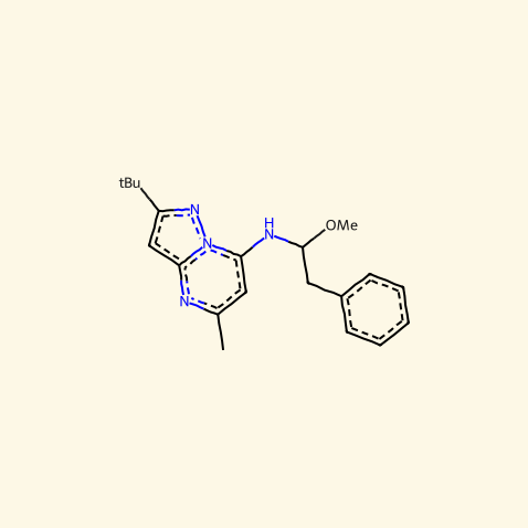 COC(Cc1ccccc1)Nc1cc(C)nc2cc(C(C)(C)C)nn12